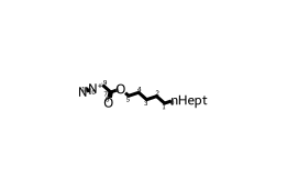 CCCCCCCCCCCCOC(=O)C=[N+]=[N-]